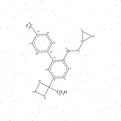 O=C(O)C1(c2ccc(OCC3CC3)c(-c3ccc(C(F)(F)F)cc3)c2)CCC1